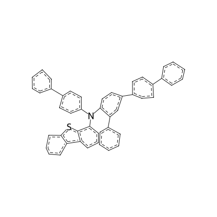 c1ccc(-c2ccc(-c3ccc(N(c4ccc(-c5ccccc5)cc4)c4cccc5c4sc4ccccc45)c(-c4ccccc4)c3)cc2)cc1